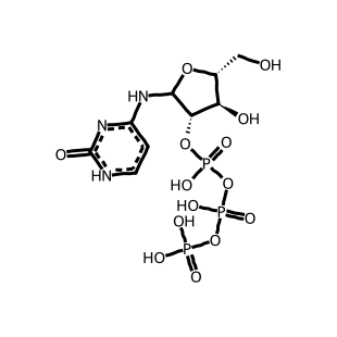 O=c1nc(NC2O[C@H](CO)[C@@H](O)[C@@H]2OP(=O)(O)OP(=O)(O)OP(=O)(O)O)cc[nH]1